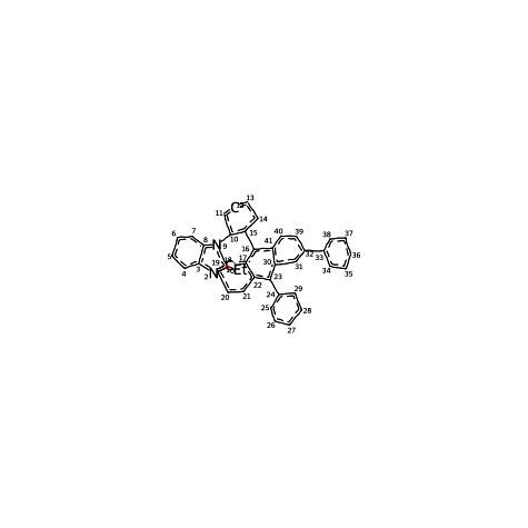 CCc1nc2ccccc2n1-c1ccccc1-c1c2ccccc2c(-c2ccccc2)c2cc(-c3ccccc3)ccc12